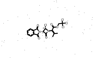 CC(C)=C(C(=O)OCC(Cl)(Cl)Cl)N1C(=O)[C@H](N2C(=O)c3ccccc3C2=O)[C@H]1Cl